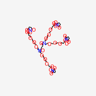 O=C(CCOCCOCCOCCN(CCOCCOCCOCCC(=O)ON1C(=O)CCC1=O)C(=O)CCC(=O)N(CCOCCOCCOCCC(=O)ON1C(=O)CCC1=O)CCOCCOCCOCCC(=O)ON1C(=O)CCC1=O)ON1C(=O)CCC1=O